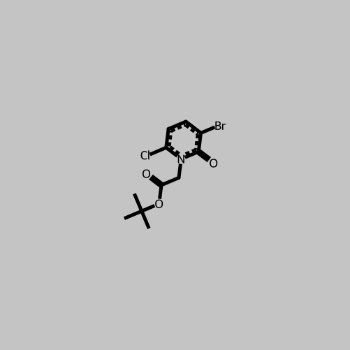 CC(C)(C)OC(=O)Cn1c(Cl)ccc(Br)c1=O